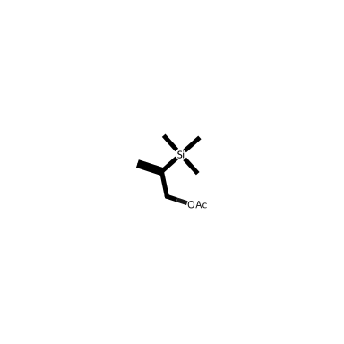 C=C(COC(C)=O)[Si](C)(C)C